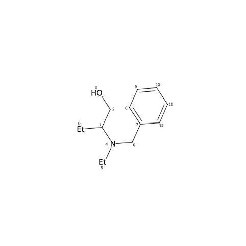 CCC(CO)N(CC)Cc1ccccc1